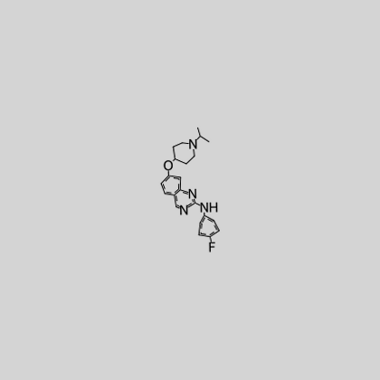 CC(C)N1CCC(Oc2ccc3cnc(Nc4ccc(F)cc4)nc3c2)CC1